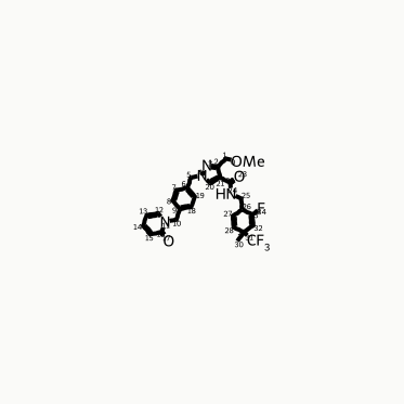 COCc1nn(Cc2ccc(Cn3ccccc3=O)cc2)cc1C(=O)NCC1C=CC(C)(C(F)(F)F)C=C1F